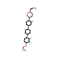 C=CC1CCC(c2ccc(-c3ccc(-c4ccc(OCC)c(F)c4F)cc3)cc2F)CO1